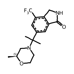 C[C@H]1CN(C(C)(C)c2cc3c(c(C(F)(F)F)c2)CNC3=O)CCO1